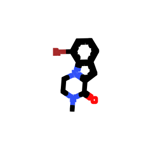 CN1CCn2c(cc3cccc(Br)c32)C1=O